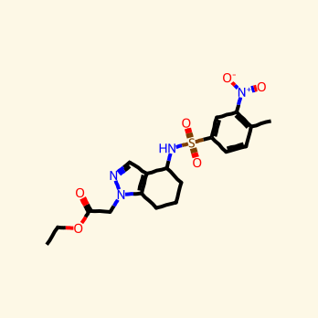 CCOC(=O)Cn1ncc2c1CCCC2NS(=O)(=O)c1ccc(C)c([N+](=O)[O-])c1